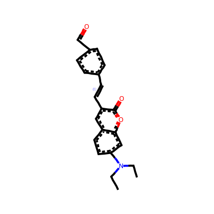 CCN(CC)c1ccc2cc(/C=C/c3ccc(C=O)cc3)c(=O)oc2c1